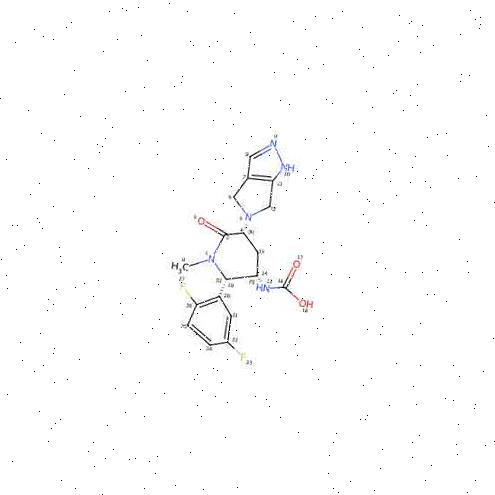 CN1C(=O)[C@H](N2Cc3cn[nH]c3C2)C[C@H](NC(=O)O)[C@@H]1c1cc(F)ccc1F